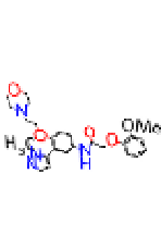 COc1ccccc1OCC(=O)Nc1ccc(OCCN2CCOCC2)c(-c2ccnn2C)c1